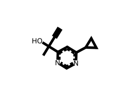 C#CC(C)(O)c1cc(C2CC2)ncn1